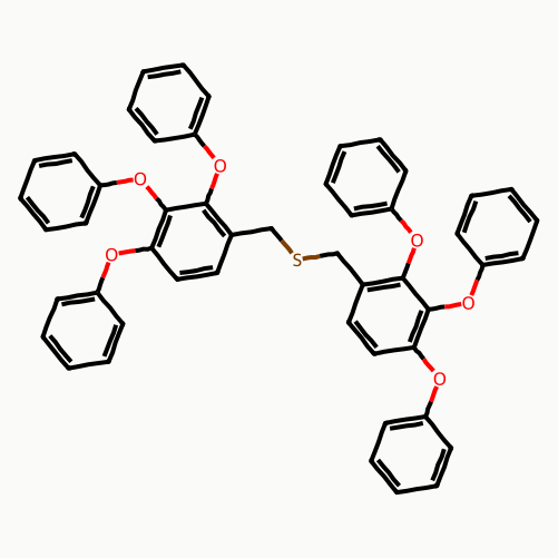 c1ccc(Oc2ccc(CSCc3ccc(Oc4ccccc4)c(Oc4ccccc4)c3Oc3ccccc3)c(Oc3ccccc3)c2Oc2ccccc2)cc1